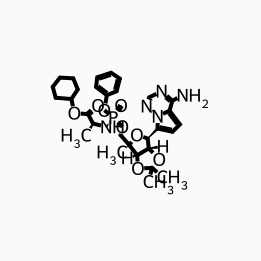 C[C@H](N[P@](=O)(OC[C@@]1(C)O[C@@H](c2ccc3c(N)ncnn23)[C@@H]2OC(C)(C)O[C@@H]21)Oc1ccccc1)C(=O)OC1CCCCC1